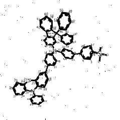 C[Si](C)(C)c1ccc(-c2ccc(N(c3ccc(-c4ccc5c(c4)Sc4ccccc4N5c4ccccc4)cc3)c3ccc4c(c3)C(c3ccccc3)(c3ccccc3)c3ccccc3-4)cc2)cc1